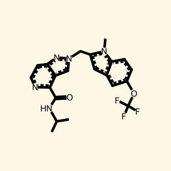 CC(C)NC(=O)c1nccc2nn(Cc3cc4cc(OC(F)(F)F)ccc4n3C)cc12